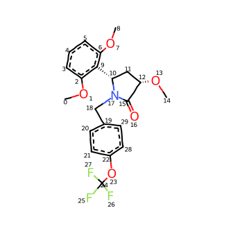 COc1cccc(OC)c1[C@@H]1C[C@H](OC)C(=O)N1Cc1ccc(OC(F)(F)F)cc1